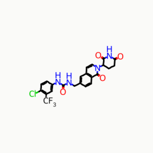 O=C1CCC(n2ccc3cc(CNC(=O)Nc4ccc(Cl)c(C(F)(F)F)c4)ccc3c2=O)C(=O)N1